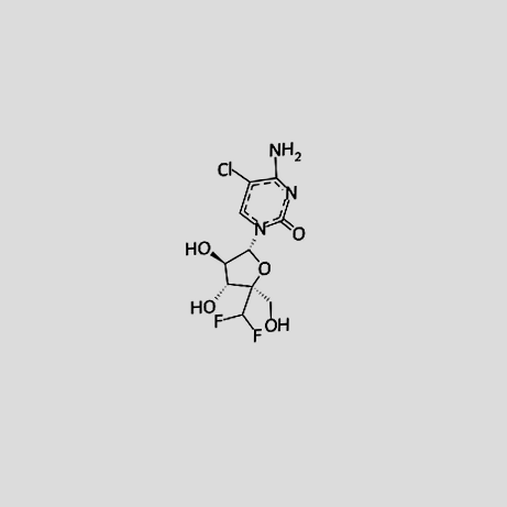 Nc1nc(=O)n([C@@H]2O[C@@](CO)(C(F)F)[C@H](O)[C@H]2O)cc1Cl